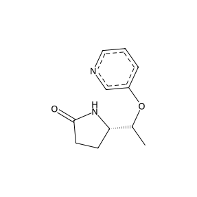 CC(Oc1cccnc1)[C@@H]1CCC(=O)N1